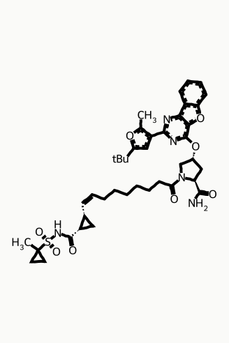 Cc1oc(C(C)(C)C)cc1-c1nc(O[C@@H]2C[C@@H](C(N)=O)N(C(=O)CCCCCC/C=C\[C@@H]3C[C@@H]3C(=O)NS(=O)(=O)C3(C)CC3)C2)c2oc3ccccc3c2n1